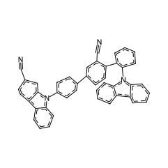 N#Cc1ccc2c3ccccc3n(-c3ccc(-c4ccc(-c5ccccc5-n5c6ccccc6c6ccccc65)c(C#N)c4)cc3)c2c1